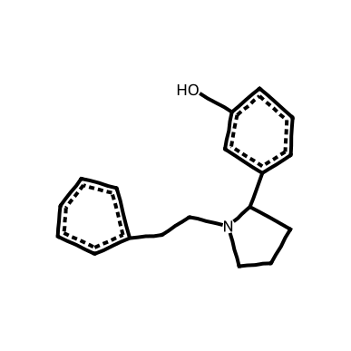 Oc1cccc(C2CCCN2CCc2ccccc2)c1